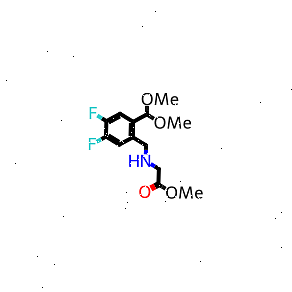 COC(=O)CNCc1cc(F)c(F)cc1C(OC)OC